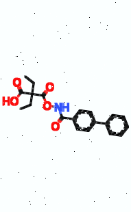 CCC(CC)(C(=O)O)C(=O)ONC(=O)c1ccc(-c2ccccc2)cc1